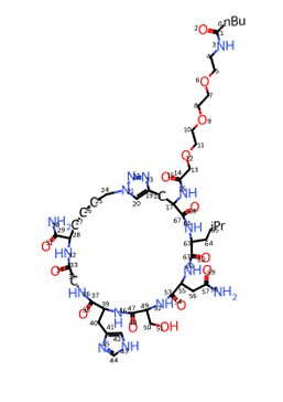 CCCCC(=O)NCCOCCOCCOCC(=O)NC1Cc2cn(nn2)CCCCC(C(N)=O)NC(=O)CNC(=O)C(Cc2c[nH]cn2)NC(=O)C(CO)NC(=O)C(CC(N)=O)NC(=O)C(CC(C)C)NC1=O